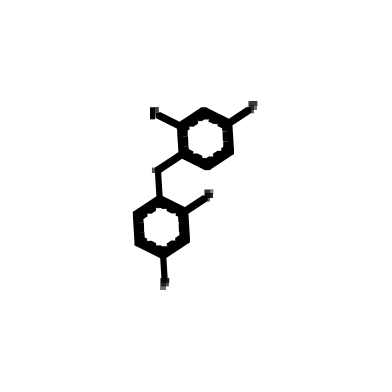 Fc1ccc([CH]c2ccc(F)cc2F)c(F)c1